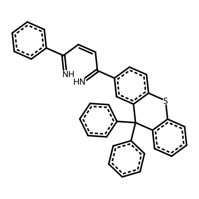 N=C(/C=C\C(=N)c1ccc2c(c1)C(c1ccccc1)(c1ccccc1)c1ccccc1S2)c1ccccc1